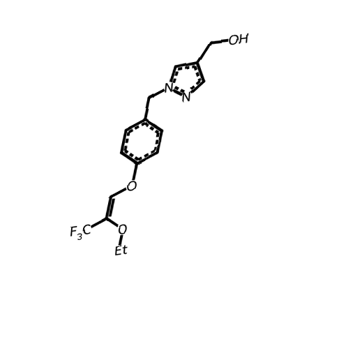 CCO/C(=C\Oc1ccc(Cn2cc(CO)cn2)cc1)C(F)(F)F